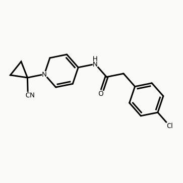 N#CC1(N2C=CC(NC(=O)Cc3ccc(Cl)cc3)=CC2)CC1